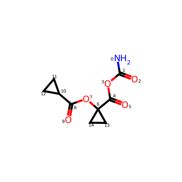 NC(=O)OC(=O)C1(OC(=O)C2CC2)CC1